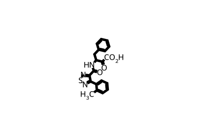 Cc1ccccc1-c1nsnc1C(=O)NC(Cc1ccccc1)C(=O)C(=O)O